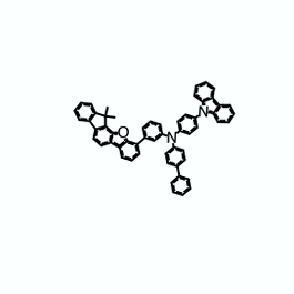 CC1(C)c2ccccc2-c2ccc3c(oc4c(-c5cccc(N(c6ccc(-c7ccccc7)cc6)c6ccc(-n7c8ccccc8c8ccccc87)cc6)c5)cccc43)c21